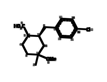 COC1(C)CCN(C(=O)O)[C@@H](Cc2ccc(Cl)cc2)C1